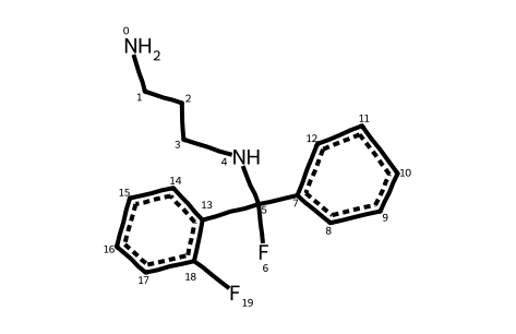 NCCCNC(F)(c1ccccc1)c1ccccc1F